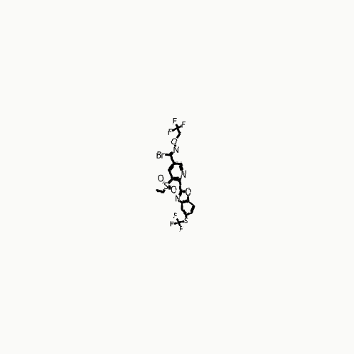 CCS(=O)(=O)c1cc(C(Br)=NOCC(F)(F)F)cnc1-c1nc2cc(SC(F)(F)F)ccc2o1